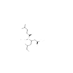 CCC(C)CC(CC(=O)O)N(N)C(=O)CCC(C)C